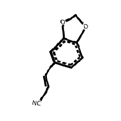 N#C/C=C/c1ccc2c(c1)OCO2